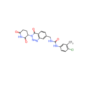 O=C1CCC(n2nnc3cc(CNC(=O)Nc4ccc(Cl)c(C(F)(F)F)c4)ccc3c2=O)C(=O)N1